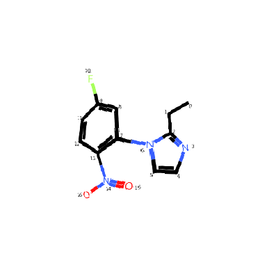 CCc1nccn1-c1cc(F)ccc1[N+](=O)[O-]